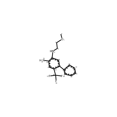 COCCNc1cc(-c2ccccc2)c(C(F)(F)F)cc1N